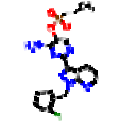 CCCS(=O)(=O)Oc1cnc(-c2nn(Cc3ccccc3F)c3ncccc23)nc1N